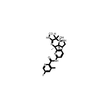 Cc1cc(F)cnc1C(=O)Nc1ccc(F)c([C@@]2(C)N=C(NC(=O)O)C(C)(C)[S@]3(O)NCC[C@H]23)n1